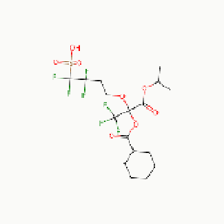 CC(C)OC(=O)C(OCCC(F)(F)C(F)(F)S(=O)(=O)O)(OC(=O)C1CCCCC1)C(F)(F)F